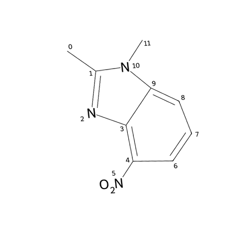 Cc1nc2c([N+](=O)[O-])cccc2n1C